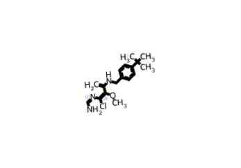 C=C(NCc1ccc(C(C)(C)C)cc1)/C(OC)=C(Cl)\N=C/N